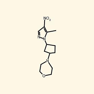 Cc1c([N+](=O)[O-])cnn1C1CCC(N2CCOCC2)C1